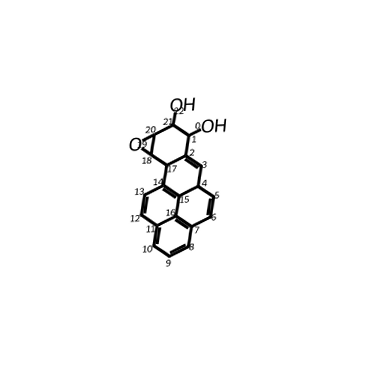 OC1C2=CC3C=Cc4cccc5ccc(c3c45)C2C2OC2C1O